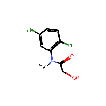 CN(C(=O)CO)c1cc(Cl)ccc1Cl